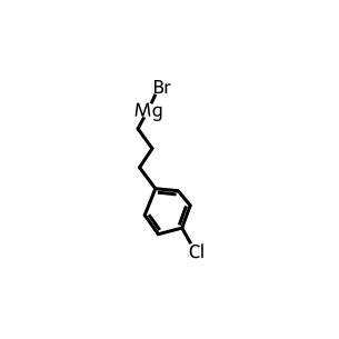 Clc1ccc(CC[CH2][Mg][Br])cc1